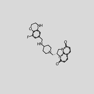 O=c1ccc2ccc(=O)n3c2n1C[C@H]3CN1CCC(NCc2cc(F)c3c(c2)NCCO3)CC1